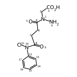 NN(CC(=O)O)C(=O)CCC(=O)N(Cl)c1ccccc1